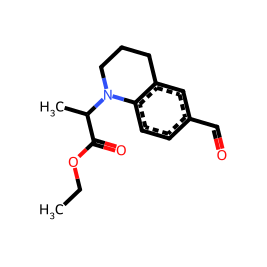 CCOC(=O)C(C)N1CCCc2cc(C=O)ccc21